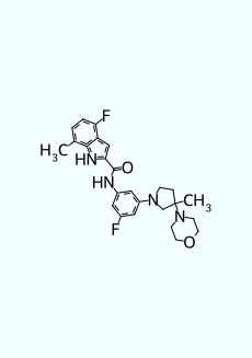 Cc1ccc(F)c2cc(C(=O)Nc3cc(F)cc(N4CCC(C)(N5CCOCC5)C4)c3)[nH]c12